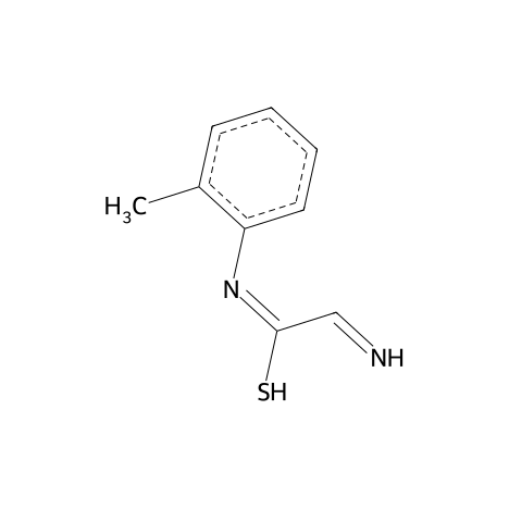 Cc1ccccc1/N=C(/S)C=N